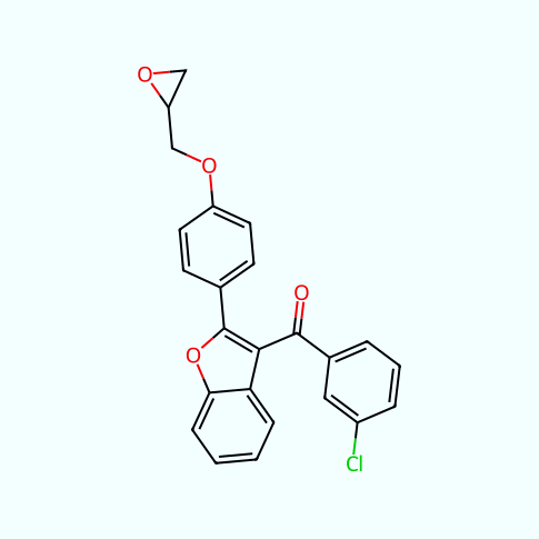 O=C(c1cccc(Cl)c1)c1c(-c2ccc(OCC3CO3)cc2)oc2ccccc12